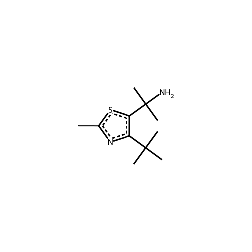 Cc1nc(C(C)(C)C)c(C(C)(C)N)s1